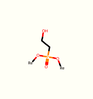 O=P(CCO)([O][Re])[O][Re]